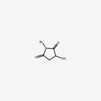 O=C1CC(O)C(=O)N1Br